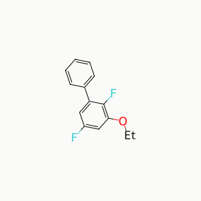 CCOc1cc(F)cc(-c2ccccc2)c1F